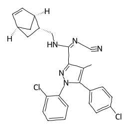 Cc1c(C(=NC#N)NC[C@@H]2C[C@H]3C=C[C@@H]2C3)nn(-c2ccccc2Cl)c1-c1ccc(Cl)cc1